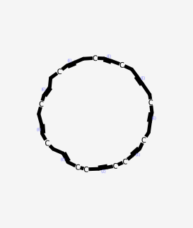 C1=C\CC/C=C/CC/C=C/CC/C=C/CC/C=C/CC/C=C/CC/C=C/CC/C=C/CC/C=C/CC/1